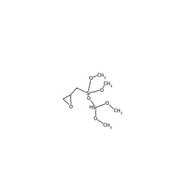 CO[SiH](OC)O[Si](CC1CO1)(OC)OC